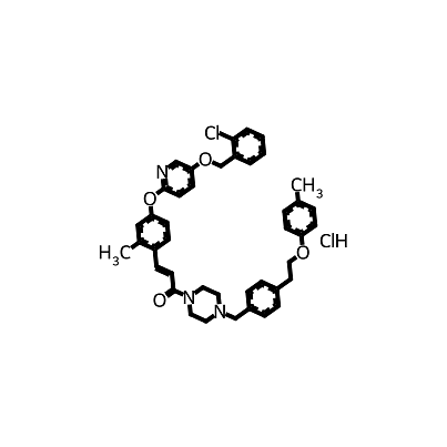 Cc1ccc(OCCc2ccc(CN3CCN(C(=O)C=Cc4ccc(Oc5ccc(OCc6ccccc6Cl)cn5)cc4C)CC3)cc2)cc1.Cl